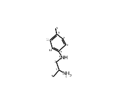 Cc1ccc(NCC(C)N)cc1